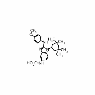 CC1(C)CC(n2c(Nc3ccc(OC(F)(F)F)cc3)nc3cc(NC(=O)O)ccc32)CC(C)(C)C1